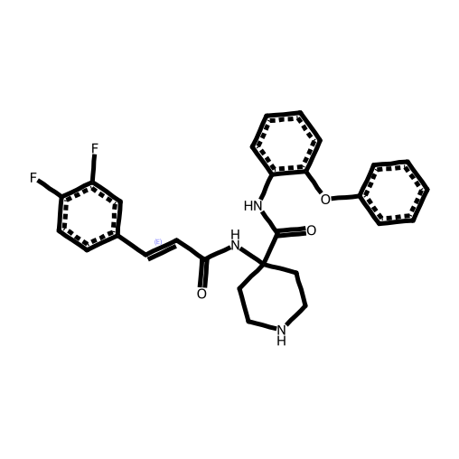 O=C(/C=C/c1ccc(F)c(F)c1)NC1(C(=O)Nc2ccccc2Oc2ccccc2)CCNCC1